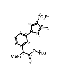 CCCCOC(=O)C(NC)c1cccc(-n2cc(C(=O)OCC)c(C)n2)c1